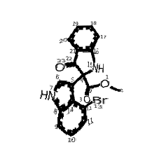 COC(=O)C1(c2c[nH]c3cccc(Br)c23)Nc2ccccc2C1=O